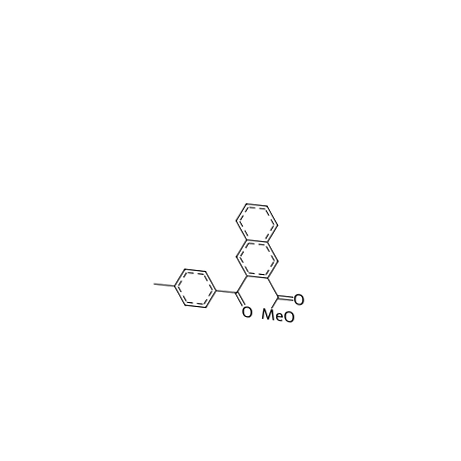 COC(=O)c1cc2ccccc2cc1C(=O)c1ccc(C)cc1